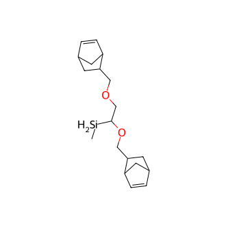 C[SiH2]C(COCC1CC2C=CC1C2)OCC1CC2C=CC1C2